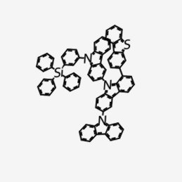 c1ccc([Si](c2ccccc2)(c2ccccc2)c2cccc(-n3c4ccccc4c4cc(-n5c6ccc(-n7c8ccccc8c8ccccc87)cc6c6cccc(-c7ccc8c(c7)sc7ccccc78)c65)ccc43)c2)cc1